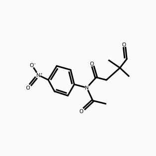 CC(=O)N(C(=O)CC(C)(C)C=O)c1ccc([N+](=O)[O-])cc1